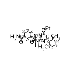 CCOc1cc(-c2c(C)cccc2C)nc(NS(=O)(=O)c2cccc(C(N)=O)c2)n1